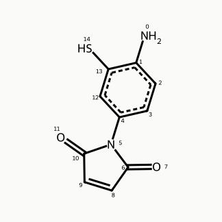 Nc1ccc(N2C(=O)C=CC2=O)cc1S